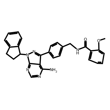 COc1ccccc1C(=O)NCc1ccc(-c2nn(C3CCc4ccccc43)c3ncnc(N)c23)cc1